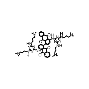 CN(C)CCCNc1nc(NCCCN(C)C)nc(Nc2ccc(-c3ccc(Nc4nc(NCCCN(C)C)nc(NCCCN(C)C)n4)c4c3C(=O)c3ccccc3C4=O)c3c2C(=O)c2ccccc2C3=O)n1